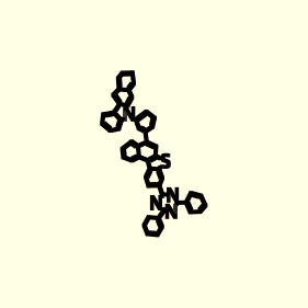 C1=CCCC(c2nc(-c3ccccc3)nc(-c3ccc4c(c3)sc3cc(-c5cccc(-n6c7ccccc7c7cc8ccccc8cc76)c5)c5ccccc5c34)n2)=C1